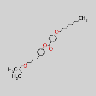 CCCCCCCCOc1ccc(C(=O)Oc2ccc(CCCCOC[C@@H](C)CC)cc2)cc1